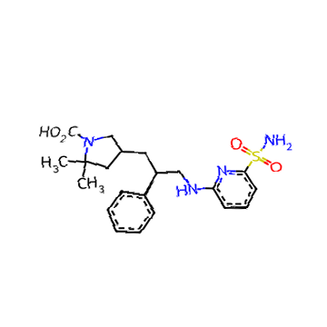 CC1(C)CC(CC(CNc2cccc(S(N)(=O)=O)n2)c2ccccc2)CN1C(=O)O